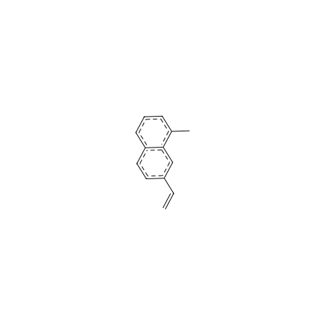 C=Cc1ccc2cccc(C)c2c1